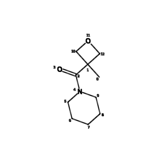 CC1(C(=O)N2CCCCC2)COC1